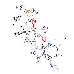 C=P(C)(C)CC[C@@]1(C)O[C@@H](n2cnc3c(N)ccnc32)[C@](C)(O)[C@@H]1O